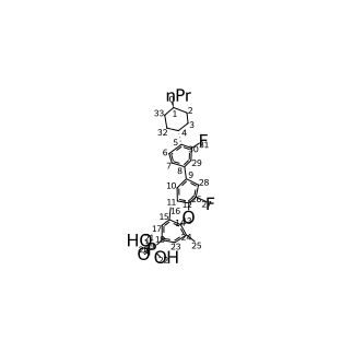 CCC[C@H]1CC[C@H](c2ccc(-c3ccc(Oc4c(C)cc(P(=O)(O)O)cc4C)c(F)c3)cc2F)CC1